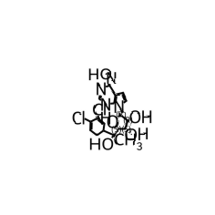 CC(O)(C1C=C(Cl)C(Cl)=CC1)[C@H]1O[C@@H](n2ccc3c(=NO)nc[nH]c32)[C@H](O)[C@@H]1O